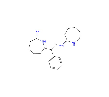 N=C1CCCCC(C(CN=C2CCCCCN2)c2ccccc2)N1